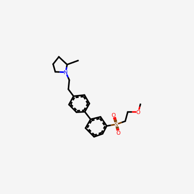 COCCS(=O)(=O)c1cccc(-c2ccc(CCN3CCCC3C)cc2)c1